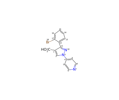 O=C(O)c1cn(-c2ccncc2)nc1-c1ccccc1Br